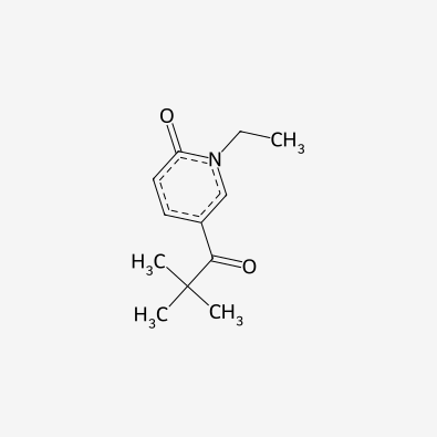 CCn1cc(C(=O)C(C)(C)C)ccc1=O